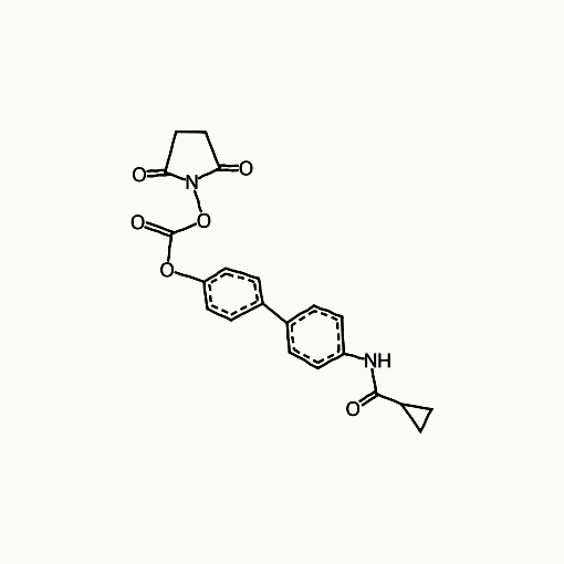 O=C(Oc1ccc(-c2ccc(NC(=O)C3CC3)cc2)cc1)ON1C(=O)CCC1=O